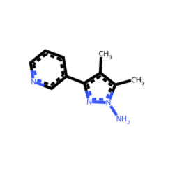 Cc1c(-c2cccnc2)nn(N)c1C